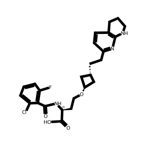 O=C(N[C@@H](CCO[C@H]1C[C@@H](CCc2ccc3c(n2)NCCC3)C1)C(=O)O)c1c(F)cccc1Cl